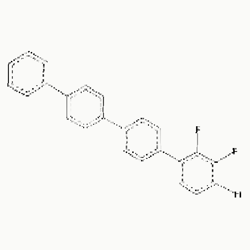 CCc1ccc(-c2ccc(-c3ccc(-c4ccccc4)cc3)cc2)c(F)c1F